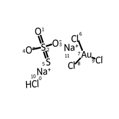 Cl.O=S([O-])([O-])=S.[Cl][Au]([Cl])[Cl].[Na+].[Na+]